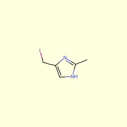 Cc1nc(CI)c[nH]1